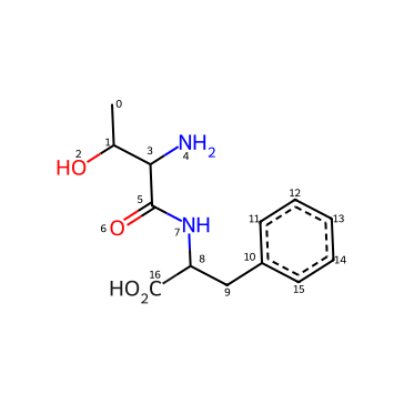 CC(O)C(N)C(=O)NC(Cc1ccccc1)C(=O)O